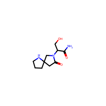 NC(=O)C(CO)N1CC2(CCCN2)CC1=O